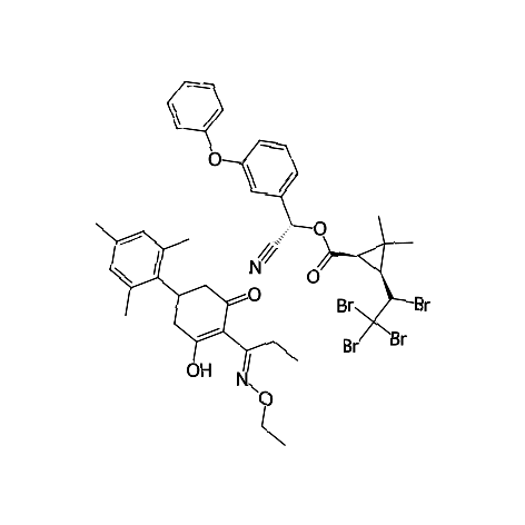 CC1(C)[C@H](C(=O)O[C@H](C#N)c2cccc(Oc3ccccc3)c2)[C@@H]1C(Br)C(Br)(Br)Br.CCO/N=C(\CC)C1=C(O)CC(c2c(C)cc(C)cc2C)CC1=O